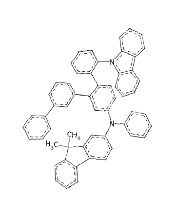 CC1(C)c2ccccc2-c2ccc(N(c3ccccc3)c3ccc(-c4ccccc4-n4c5ccccc5c5ccccc54)c(-c4cccc(-c5ccccc5)c4)c3)cc21